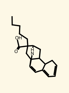 CCCCCC1(C(=O)O)CC2C3=CC4=CC=CCC4C2CC1N3